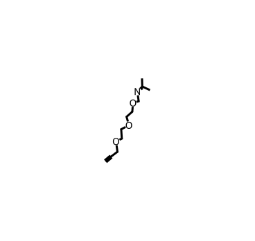 C#CCOCCOCCOCN=C(C)C